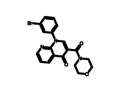 O=C(c1cn(-c2cccc(Br)c2)c2ncccc2c1=O)N1CCOCC1